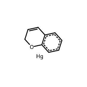 C1=Cc2ccccc2OC1.[Hg]